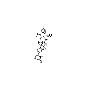 Cc1cc(C(C(=O)N2C[C@H](O)C[C@@H]2C2=NC(=O)[C@](C)(c3ccc(-c4cccc(=O)n4C)cc3)N2)C(C)C)on1